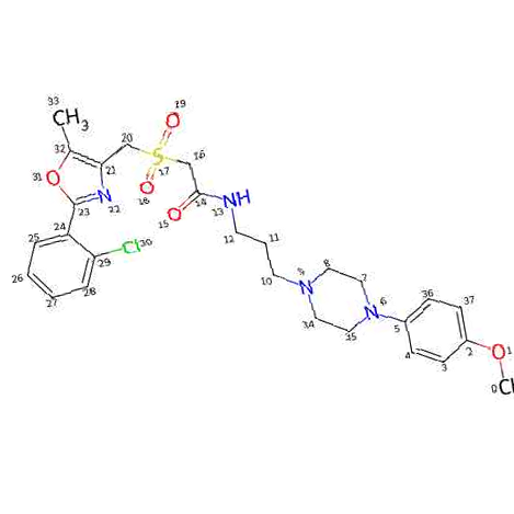 COc1ccc(N2CCN(CCCNC(=O)CS(=O)(=O)Cc3nc(-c4ccccc4Cl)oc3C)CC2)cc1